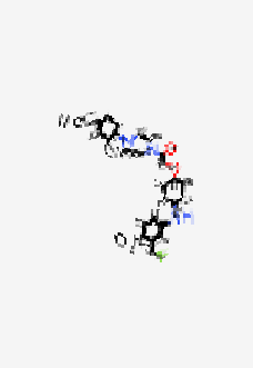 COc1ccc(N2CCN(C(=O)COC3CCC(Nc4ccc([N+](=O)[O-])c(CF)c4)CC3)CC2)c(OC)c1